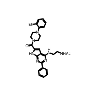 CCc1ccccc1N1CCN(C(=O)c2cc3c(NCCNC(C)=O)nc(-c4ccccc4)nc3[nH]2)CC1